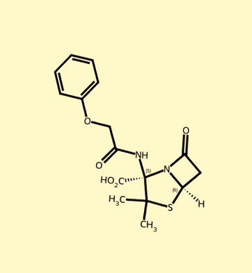 CC1(C)S[C@@H]2CC(=O)N2[C@@]1(NC(=O)COc1ccccc1)C(=O)O